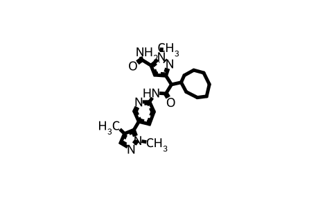 Cc1cnn(C)c1-c1ccc(NC(=O)C(c2cc(C(N)=O)n(C)n2)C2CCCCCCC2)nc1